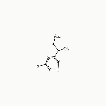 [CH2]C(COC)c1cccc(Cl)c1